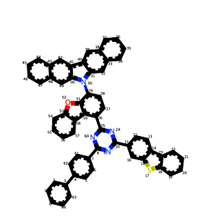 c1ccc(-c2ccc(-c3nc(-c4ccc5c(c4)sc4ccccc45)nc(-c4ccc(-n5c6cc7ccccc7cc6c6cc7ccccc7cc65)c5oc6ccccc6c45)n3)cc2)cc1